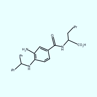 CC(C)CC(NC(=O)c1ccc(NC(C(C)C)C(C)C)c(N)c1)C(=O)O